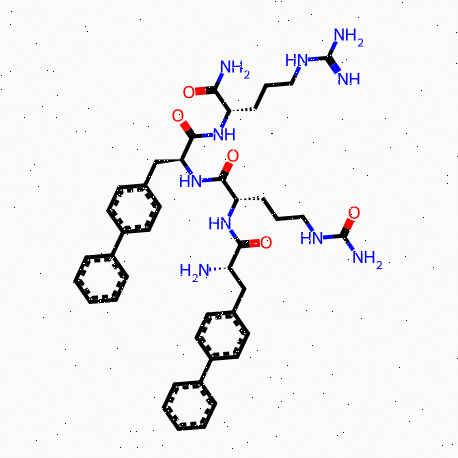 N=C(N)NCCC[C@H](NC(=O)[C@H](Cc1ccc(-c2ccccc2)cc1)NC(=O)[C@H](CCCNC(N)=O)NC(=O)[C@@H](N)Cc1ccc(-c2ccccc2)cc1)C(N)=O